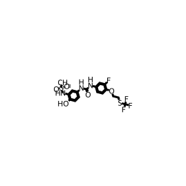 CS(=O)(=O)Nc1cc(NC(=O)Nc2ccc(OCCSC(F)(F)F)c(F)c2)ccc1O